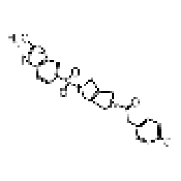 Cc1nc2ccc(S(=O)(=O)N3CC4=C(CN(C(=O)Cc5ccc(Cl)cc5)C4)C3)cc2s1